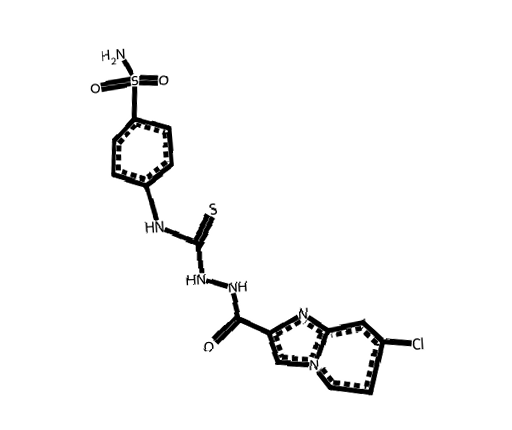 NS(=O)(=O)c1ccc(NC(=S)NNC(=O)c2cn3ccc(Cl)cc3n2)cc1